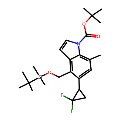 Cc1cc(C2CC2(F)F)c(CO[Si](C)(C)C(C)(C)C)c2ccn(C(=O)OC(C)(C)C)c12